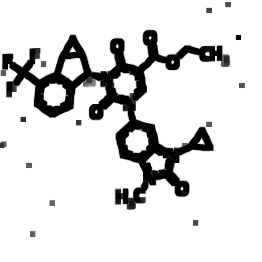 CCOC(=O)c1cn(-c2ccc3c(c2)n(C2CC2)c(=O)n3C)c(=O)n([C@H]2c3cccc(C(F)(F)F)c3C3CC32)c1=O